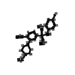 COc1ccc(S(=O)(=O)Nc2ccc(F)cc2Br)cc1N1CCN(C)CC1.Cl